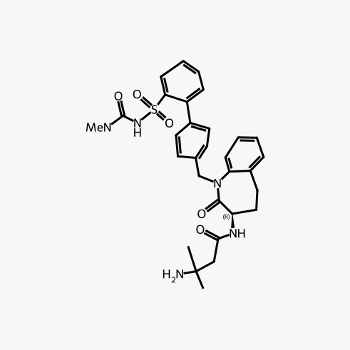 CNC(=O)NS(=O)(=O)c1ccccc1-c1ccc(CN2C(=O)[C@H](NC(=O)CC(C)(C)N)CCc3ccccc32)cc1